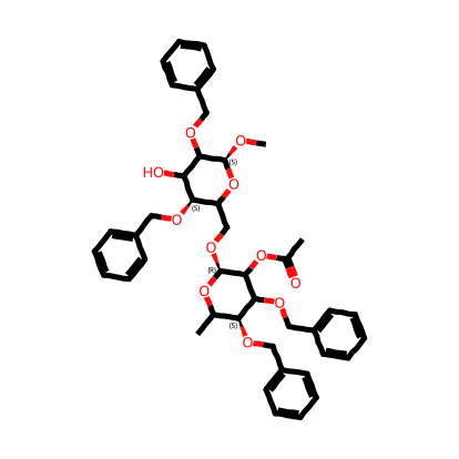 CO[C@H]1OC(CO[C@@H]2OC(C)[C@H](OCc3ccccc3)C(OCc3ccccc3)C2OC(C)=O)[C@@H](OCc2ccccc2)C(O)C1OCc1ccccc1